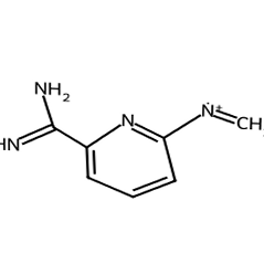 C=[N+]c1cccc(C(=N)N)n1